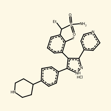 CCC(c1cccc(-c2c(-c3ccncc3)n[nH]c2-c2ccc(C3CCNCC3)cc2)c1F)S(N)(=O)=O.Cl